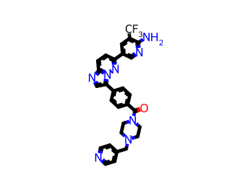 Nc1ncc(-c2ccc3ncc(-c4ccc(C(=O)N5CCN(Cc6ccncc6)CC5)cc4)n3n2)cc1C(F)(F)F